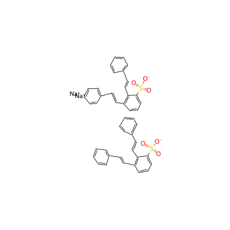 O=S(=O)([O-])c1cccc(C=Cc2ccccc2)c1C=Cc1ccccc1.O=S(=O)([O-])c1cccc(C=Cc2ccccc2)c1C=Cc1ccccc1.[Na+].[Na+]